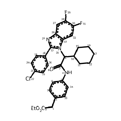 CCOC(=O)Cc1ccc(NC(=O)C(C2CCCCC2)n2c(-c3ccc(Cl)cc3)nc3cc(F)c(F)cc32)cc1